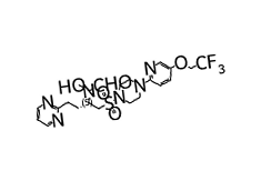 O=CN(O)[C@@H](CCc1ncccn1)CS(=O)(=O)N1CCN(c2ccc(OCC(F)(F)F)cn2)CC1